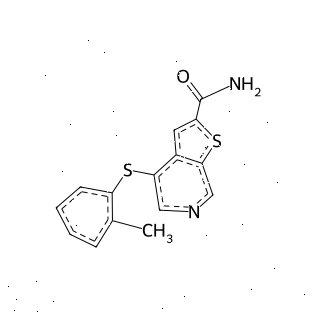 Cc1ccccc1Sc1cncc2sc(C(N)=O)cc12